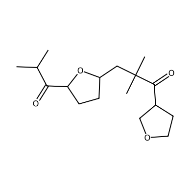 CC(C)C(=O)C1CCC(CC(C)(C)C(=O)C2CCOC2)O1